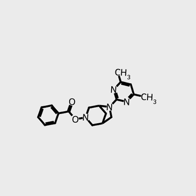 Cc1cc(C)nc(N2CC3CC2CN(OC(=O)c2ccccc2)C3)n1